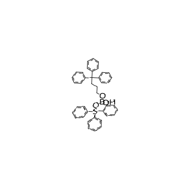 OB(OCCCC(c1ccccc1)(c1ccccc1)c1ccccc1)OS(c1ccccc1)(c1ccccc1)c1ccccc1